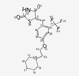 O=C1NC(=O)/C(=C/c2ccc(OCCC3CCCCC3)cc2C(F)(F)F)S1